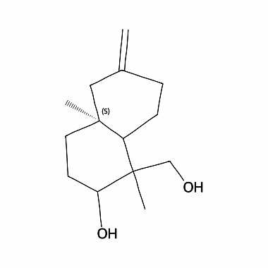 C=C1CCC2C(C)(CO)C(O)CC[C@@]2(C)C1